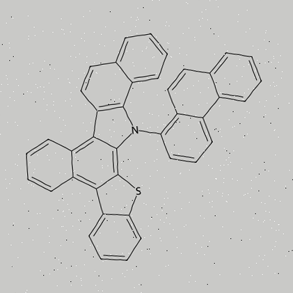 c1ccc2c(c1)ccc1c(-n3c4c5ccccc5ccc4c4c5ccccc5c5c6ccccc6sc5c43)cccc12